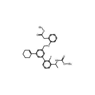 CC(NC(=O)OC(C)(C)C)c1cccc(-c2cc(COc3ccccc3CC(=O)OC(C)(C)C)cc(C3=CCCCC3)c2)c1F